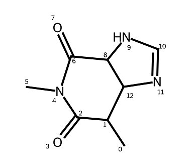 CC1C(=O)N(C)C(=O)C2NC=NC12